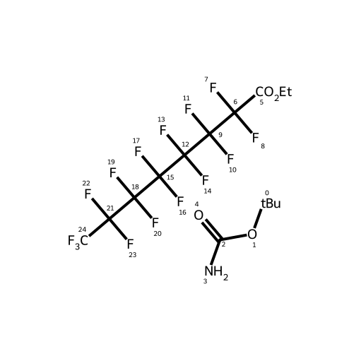 CC(C)(C)OC(N)=O.CCOC(=O)C(F)(F)C(F)(F)C(F)(F)C(F)(F)C(F)(F)C(F)(F)C(F)(F)F